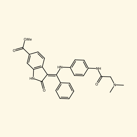 COC(=O)c1ccc2c(c1)NC(=O)C2=C(Nc1ccc(NC(=O)CN(C)C)cc1)c1ccccc1